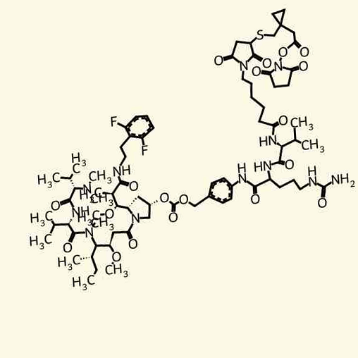 CC[C@H](C)C([C@@H](CC(=O)N1C[C@@H](OC(=O)OCc2ccc(NC(=O)C(CCCNC(N)=O)NC(=O)[C@@H](NC(=O)CCCCCN3C(=O)CC(SCC4(CC(=O)ON5C(=O)CCC5=O)CC4)C3=O)C(C)C)cc2)C[C@H]1[C@H](OC)[C@@H](C)C(=O)NCCc1c(F)cccc1F)OC)N(C)C(=O)[C@@H](NC(=O)[C@H](C(C)C)N(C)C)C(C)C